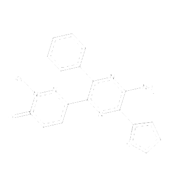 CC(C)n1nc(-c2nc(-c3ccco3)c(N)nc2-c2ccccc2)ccc1=O